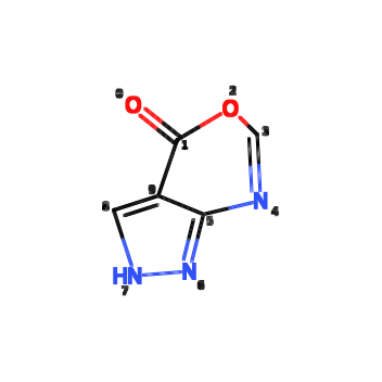 O=c1ocnc2n[nH]cc12